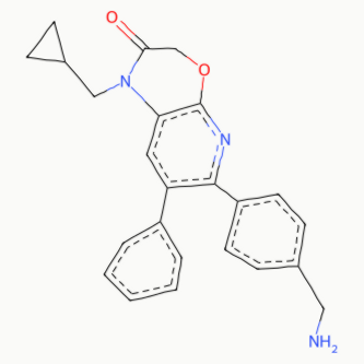 NCc1ccc(-c2nc3c(cc2-c2ccccc2)N(CC2CC2)C(=O)CO3)cc1